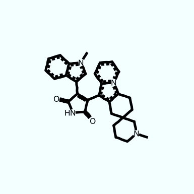 CN1CCCC2(CCc3c(c(C4=C(c5cn(C)c6ccccc56)C(=O)NC4=O)c4ccccn34)C2)C1